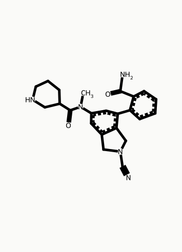 CN(C(=O)C1CCCNC1)c1cc2c(c(-c3ccccc3C(N)=O)c1)CN(C#N)C2